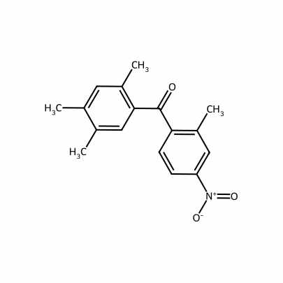 Cc1cc(C)c(C(=O)c2ccc([N+](=O)[O-])cc2C)cc1C